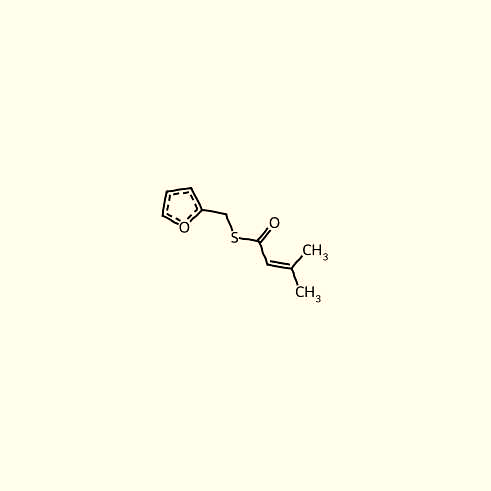 CC(C)=CC(=O)SCc1ccco1